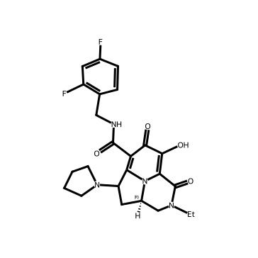 CCN1C[C@H]2CC(N3CCCC3)c3c(C(=O)NCc4ccc(F)cc4F)c(=O)c(O)c(n32)C1=O